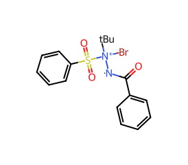 CC(C)(C)[N+](Br)([N]C(=O)c1ccccc1)S(=O)(=O)c1ccccc1